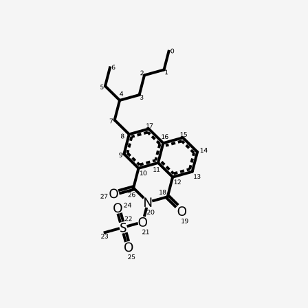 CCCCC(CC)Cc1cc2c3c(cccc3c1)C(=O)N(OS(C)(=O)=O)C2=O